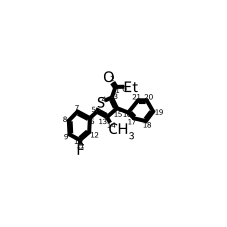 CCC(=O)c1sc(-c2cccc(F)c2)c(C)c1-c1ccccc1